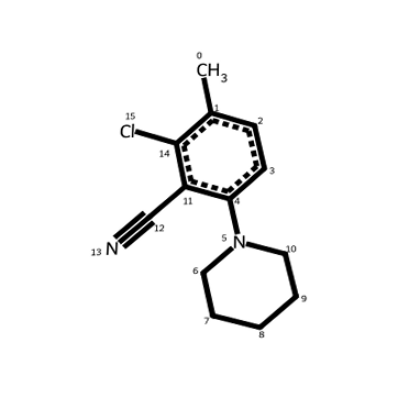 Cc1ccc(N2CCCCC2)c(C#N)c1Cl